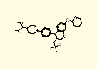 COC(OC)C1CCN(c2ccc(C3=C(CC(F)(F)F)COc4cc(OC5CCCCO5)ccc43)cc2)CC1